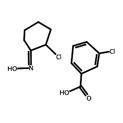 O=C(O)c1cccc(Cl)c1.ON=C1CCCCC1Cl